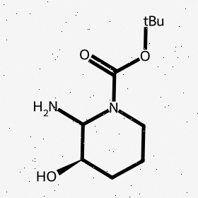 CC(C)(C)OC(=O)N1CCC[C@@H](O)C1N